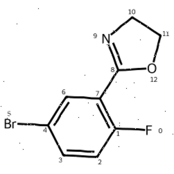 Fc1ccc(Br)cc1C1=NCCO1